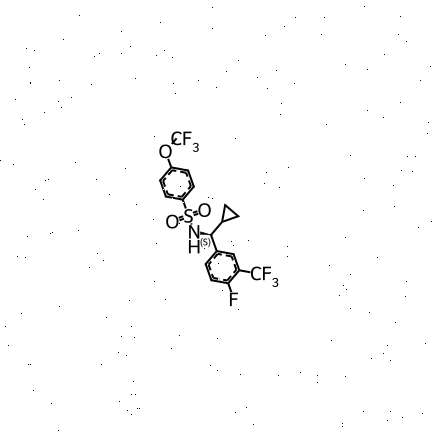 O=S(=O)(N[C@H](c1ccc(F)c(C(F)(F)F)c1)C1CC1)c1ccc(OC(F)(F)F)cc1